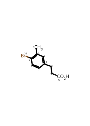 Cc1cc(CCC(=O)O)ccc1Br